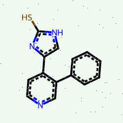 Sc1nc(-c2ccncc2-c2ccccc2)c[nH]1